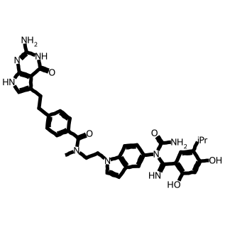 CC(C)c1cc(C(=N)N(C(N)=O)c2ccc3c(ccn3CCN(C)C(=O)c3ccc(CCc4c[nH]c5nc(N)[nH]c(=O)c45)cc3)c2)c(O)cc1O